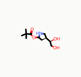 CC(C)(C)C(=O)OC1C[C@H]([C@@H](O)CO)CN1